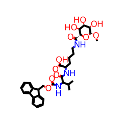 CO[C@@H]1O[C@H](C(=O)NCCCCC(NC(=O)C(NC(=O)OCC2c3ccccc3-c3ccccc32)C(C)C)C(=O)O)[C@@H](O)[C@H](O)[C@H]1O